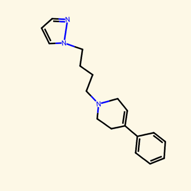 C1=C(c2ccccc2)CCN(CCCCn2cccn2)C1